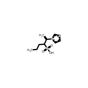 C=C(C(CCC)S(=O)(=O)O)n1ccnc1